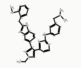 CCn1cc(-c2ccnc(Nc3cccc(CN(C)C)c3)n2)c(-c2ccc3[nH]c(Cc4ccccc4OC)nc3c2)n1